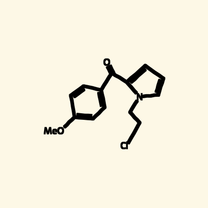 COc1ccc(C(=O)c2cccn2CCCl)cc1